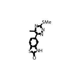 CSc1nnc(-c2ccc3sc(=O)[nH]c3c2)c(C)n1